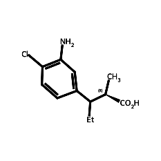 CCC(c1ccc(Cl)c(N)c1)[C@@H](C)C(=O)O